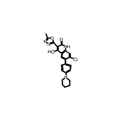 Cc1nnc(-c2c(O)c3cc(-c4ccc(N5CCCCC5)cc4)c(Cl)cc3[nH]c2=O)o1